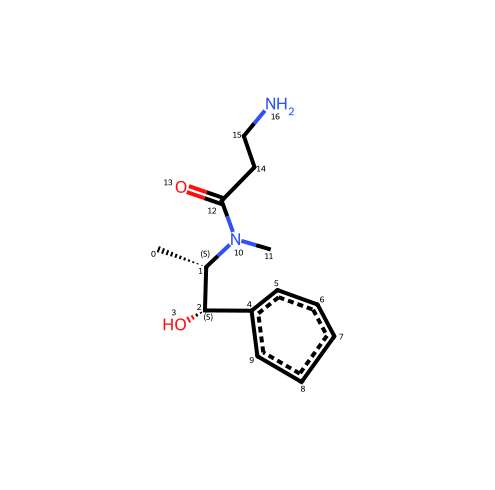 C[C@@H]([C@@H](O)c1ccccc1)N(C)C(=O)CCN